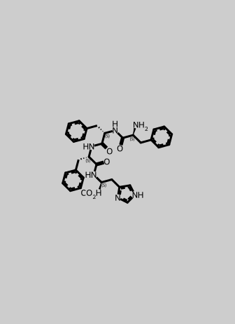 N[C@@H](Cc1ccccc1)C(=O)N[C@@H](Cc1ccccc1)C(=O)N[C@@H](Cc1ccccc1)C(=O)N[C@@H](Cc1c[nH]cn1)C(=O)O